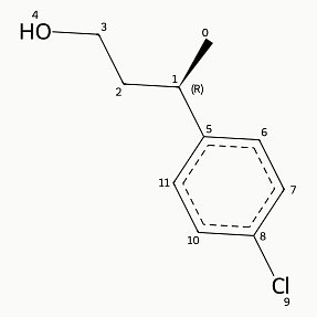 C[C@H](CCO)c1ccc(Cl)cc1